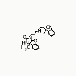 CC1(c2ccccc2)NC(=O)N(CCCN2CCC(C#N)(c3ccccc3)CC2)C1=O